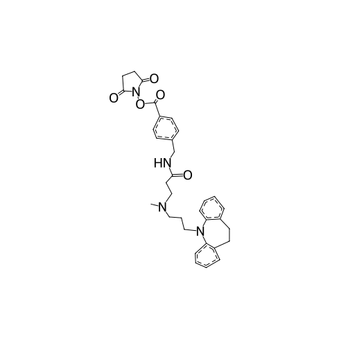 CN(CCCN1c2ccccc2CCc2ccccc21)CCC(=O)NCc1ccc(C(=O)ON2C(=O)CCC2=O)cc1